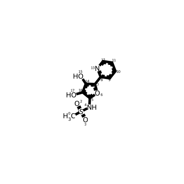 CS(=O)(=O)Nc1oc(-c2ccccn2)c(O)c1O